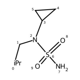 CC(C)CN(C1CC1)S(N)(=O)=O